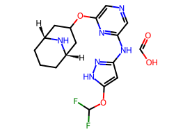 FC(F)Oc1cc(Nc2cncc(OC3C[C@H]4CCC[C@@H](C3)N4)n2)n[nH]1.O=CO